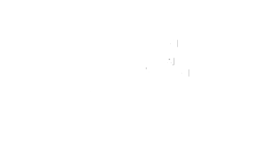 Cc1cc(C)c(C)c(I)c1C.[Cl][Al]([Cl])[Cl]